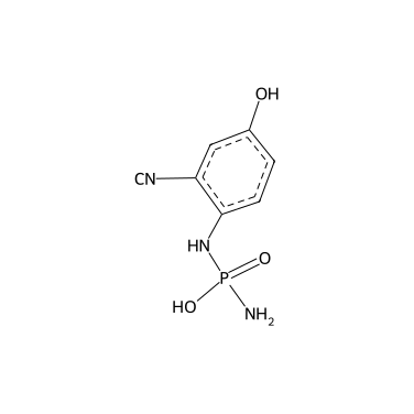 [C-]#[N+]c1cc(O)ccc1NP(N)(=O)O